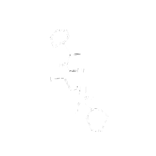 N=C(NC(=O)c1ccccc1)/C(F)=C\NS(=O)(=O)c1ccccc1